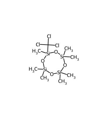 C[Si]1(C)O[Si](C)(C)O[Si](C)(C(Cl)(Cl)Cl)O[Si](C)(C)O1